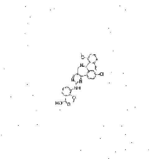 COc1cccc(F)c1C1=NCc2cnc(Nc3cccc(C(=O)O)c3OC)nc2-c2ccc(Cl)cc21